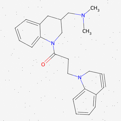 CN(C)CC1Cc2ccccc2N(C(=O)CCN2CC#Cc3ccccc32)C1